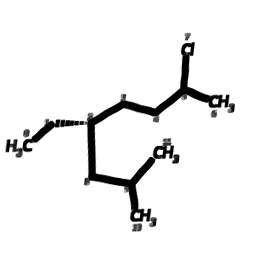 CC[C@H](CCC(C)Cl)CC(C)C